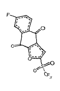 O=C1c2ccc(F)cc2C(=O)c2oc(S(=O)(=O)C(F)(F)F)cc21